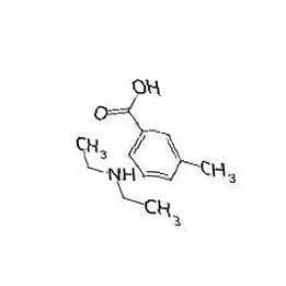 CCNCC.Cc1cccc(C(=O)O)c1